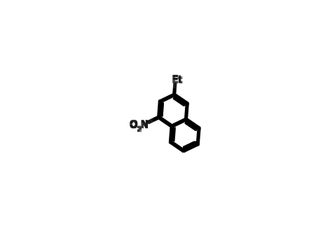 CCc1cc([N+](=O)[O-])c2ccccc2c1